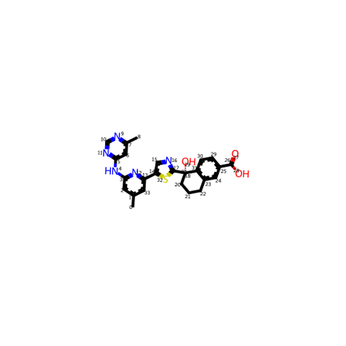 Cc1cc(Nc2cc(C)ncn2)nc(-c2cnc([C@]3(O)CCCc4cc(C(=O)O)ccc43)s2)c1